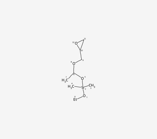 CCO[Si](C)(C)OC(C)OCC1CO1